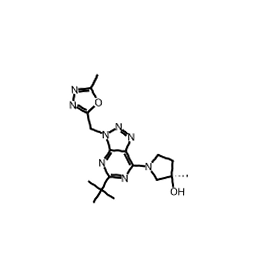 Cc1nnc(Cn2nnc3c(N4CC[C@@](C)(O)C4)nc(C(C)(C)C)nc32)o1